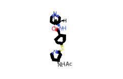 CC(=O)Nc1ccnc(Sc2ccc(C(=O)N[C@H]3CN4CCC3CC4)cc2)c1